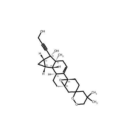 CC1(C)COOC2(CC[C@]34O[C@]3(CC[C@@H]3C4=CC[C@@]4(C)[C@H]3[C@@H]3C[C@@H]3[C@@]4(O)C#CCO)C2)C1